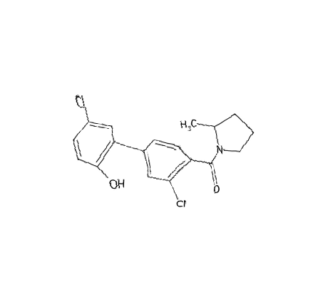 CC1CCCN1C(=O)c1ccc(-c2cc(Cl)ccc2O)cc1Cl